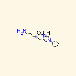 NCC/C=C(/Cc1cn(C2CCCC2)cn1)C(=O)O